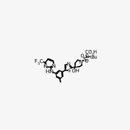 Cc1cc(Nc2nccc(C(F)(F)F)n2)cc(-c2cnc(C3(O)CCN(S(=O)(=O)N(C(=O)O)C(C)(C)C)CC3)s2)c1